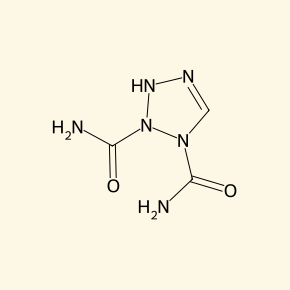 NC(=O)N1C=NNN1C(N)=O